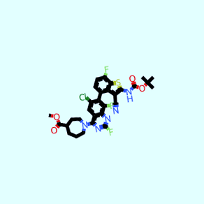 COC(=O)C1CCCN(c2nc(F)nc3c(F)c(-c4ccc(F)c5sc(NC(=O)OC(C)(C)C)c(C#N)c45)c(Cl)cc23)CC1